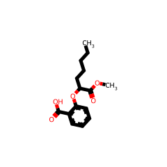 CCCCCC(Oc1ccccc1C(=O)O)C(=O)OC